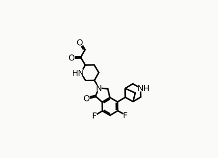 O=CC(=O)C1CCC(N2Cc3c(c(F)cc(F)c3C3C4CNCC3C4)C2=O)CN1